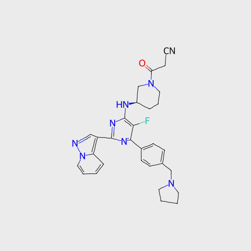 N#CCC(=O)N1CCC[C@@H](Nc2nc(-c3cnn4ccccc34)nc(-c3ccc(CN4CCCC4)cc3)c2F)C1